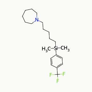 C[Si](C)(CCCCCN1CCCCCC1)c1ccc(C(F)(F)F)cc1